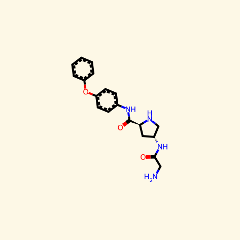 NCC(=O)N[C@H]1CN[C@H](C(=O)Nc2ccc(Oc3ccccc3)cc2)C1